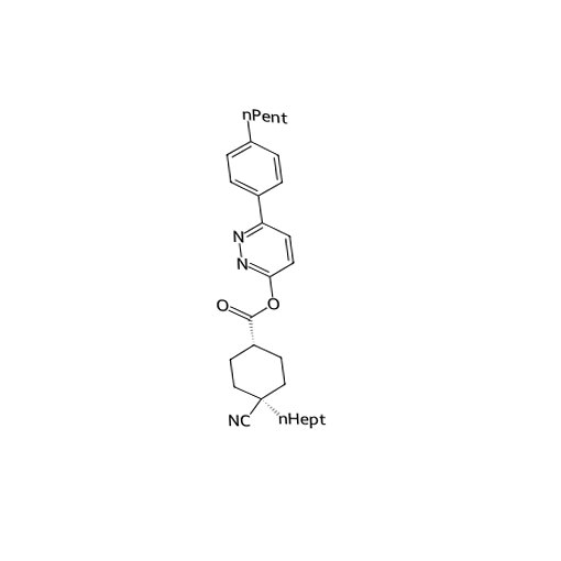 CCCCCCC[C@]1(C#N)CC[C@H](C(=O)Oc2ccc(-c3ccc(CCCCC)cc3)nn2)CC1